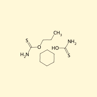 C1CCCCC1.CCCOC(N)=S.NC(O)=S